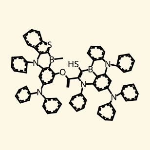 C=C(Oc1cc(N(c2ccccc2)c2ccccc2)cc2c1B(C)c1sc3ccccc3c1N2c1ccccc1)C1=C(S)B2c3ccccc3N(c3ccccc3)c3cc(N(c4ccccc4)c4ccccc4)cc(c32)N1c1ccccc1